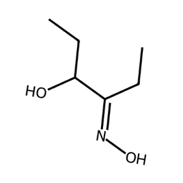 CC/C(=N\O)C(O)CC